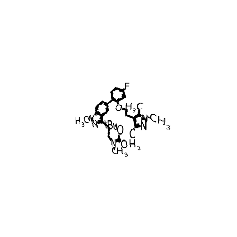 Cc1nn(C)c(C)c1CCOc1cc(F)ccc1-c1ccc2c(c1)c(CCN(C)C(=O)OC(C)(C)C)nn2C